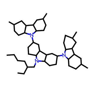 CCCCC(CC)CN1C2CCC(N3C4CCC(C)CC4C4CC(C)CCC43)CC2C2CC(N3C4CCC(C)CC4C4CC(C)CCC43)CCC21